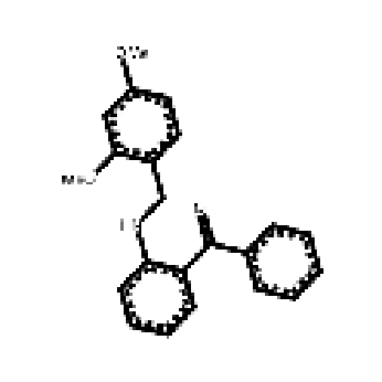 COc1ccc(CNc2ccccc2C(=O)c2ccccc2)c(OC)c1